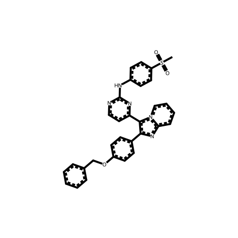 CS(=O)(=O)c1ccc(Nc2nccc(-c3c(-c4ccc(OCc5ccccc5)cc4)nc4ccccn34)n2)cc1